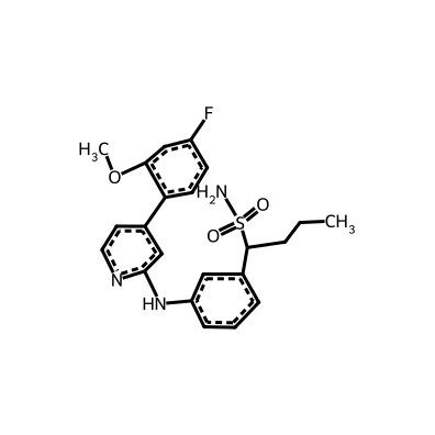 CCCC(c1cccc(Nc2cc(-c3ccc(F)cc3OC)ccn2)c1)S(N)(=O)=O